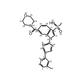 Cc1ccnc(-c2cnc(-n3cc(S(C)(=N)=O)c4ccc(C(=O)N5CCOCC5)cc43)nc2)c1